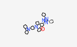 C1=CCC(c2nc(-c3ccccc3)nc(-c3ccc4c(c3)oc3cccc(N(c5ccccc5)c5ccc(-n6c7ccccc7c7ccccc76)cc5)c34)n2)C=C1